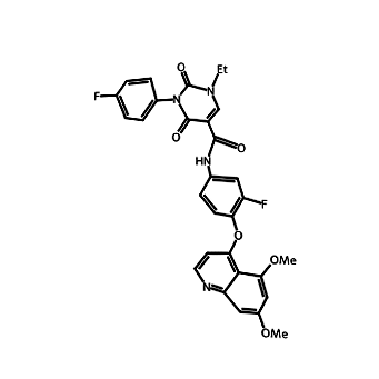 CCn1cc(C(=O)Nc2ccc(Oc3ccnc4cc(OC)cc(OC)c34)c(F)c2)c(=O)n(-c2ccc(F)cc2)c1=O